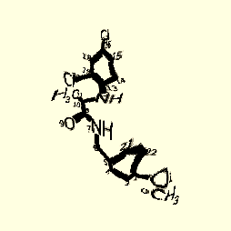 COc1ccc(CNC(=O)C(C)Nc2ccc(Cl)cc2Cl)cc1